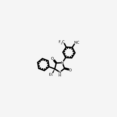 [C-]#[N+]c1ccc(N2C(=O)N[C@](CC)(c3ccccc3)C2=O)cc1C(F)(F)F